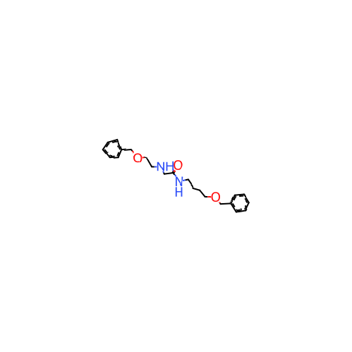 O=C(CNCCOCc1ccccc1)NCCCCOCc1ccccc1